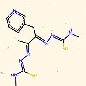 CN/C(S)=N/N=C(C)/C(Cc1cccnc1)=N/N=C(\S)NC